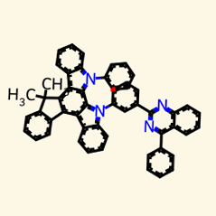 CC1(C)c2ccccc2-c2c1c1c3ccccc3n(-c3ccccc3)c1c1c2c2ccccc2n1-c1cccc(-c2nc(-c3ccccc3)c3ccccc3n2)c1